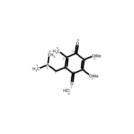 COC1=C(OC)C(=O)C(CN(C)C)=C(C)C1=O.Cl